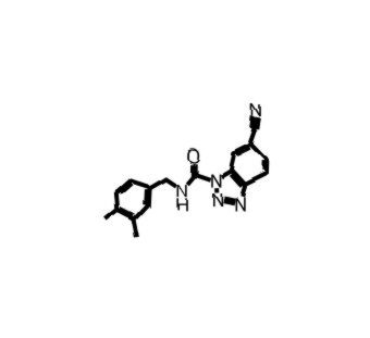 Cc1ccc(CNC(=O)n2nnc3ccc(C#N)cc32)cc1C